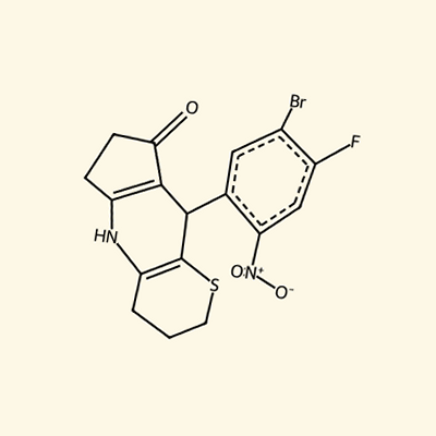 O=C1CCC2=C1C(c1cc(Br)c(F)cc1[N+](=O)[O-])C1=C(CCCS1)N2